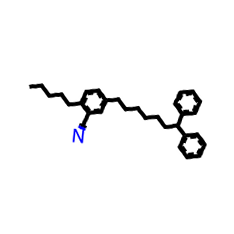 CCCCCc1ccc(CCCCCCC(c2ccccc2)c2ccccc2)cc1C#N